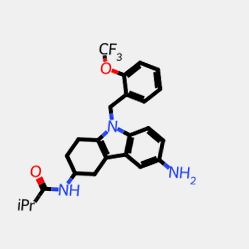 CC(C)C(=O)NC1CCc2c(c3cc(N)ccc3n2Cc2ccccc2OC(F)(F)F)C1